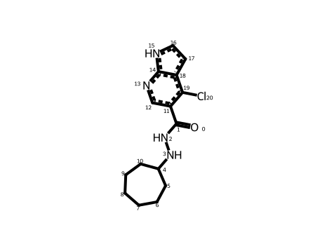 O=C(NNC1CCCCCC1)c1cnc2[nH]ccc2c1Cl